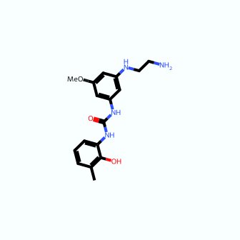 COc1cc(NCCN)cc(NC(=O)Nc2cccc(C)c2O)c1